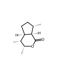 C[C@@H]1[C@H]2CC[C@H](C)[C@H]2C(=O)O[C@@H]1C